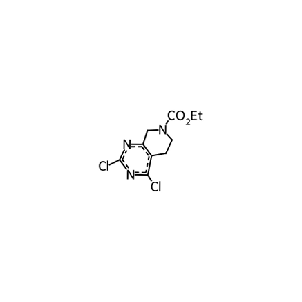 CCOC(=O)N1CCc2c(Cl)nc(Cl)nc2C1